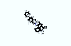 C=N/C(=N\c1c(C)cc2n1C1(CCCC1)CNC2=O)Nc1ccc(N2CCCCC2)cn1